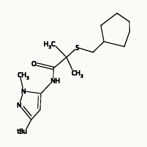 Cn1nc(C(C)(C)C)cc1NC(=O)C(C)(C)SCC1CCCCC1